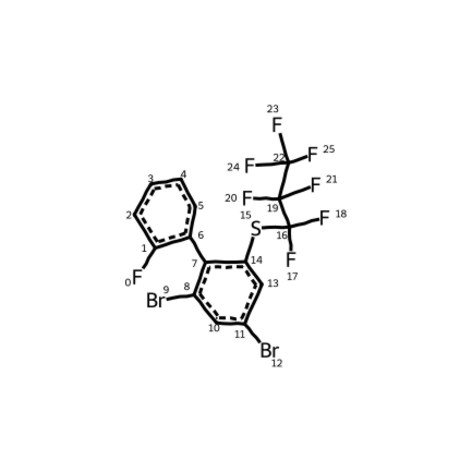 Fc1ccccc1-c1c(Br)[c]c(Br)cc1SC(F)(F)C(F)(F)C(F)(F)F